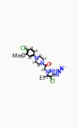 CCC1=C(Cl)C(N=[N+]=[N-])NN1CC(=O)N1CCN(c2ccc(Cl)c(OC)c2)CC1